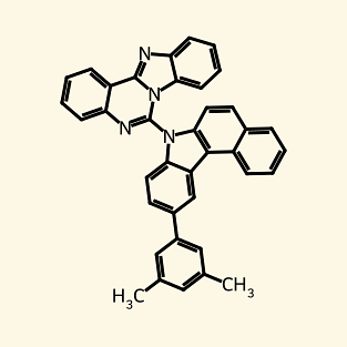 Cc1cc(C)cc(-c2ccc3c(c2)c2c4ccccc4ccc2n3-c2nc3ccccc3c3nc4ccccc4n23)c1